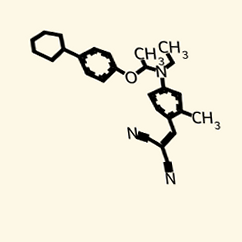 CCN(c1ccc(C=C(C#N)C#N)c(C)c1)C(C)Oc1ccc(C2CCCCC2)cc1